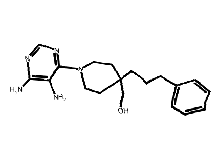 Nc1ncnc(N2CCC(CO)(CCCc3ccccc3)CC2)c1N